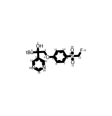 CC(C)(C)C(O)(COc1ccc(S(=O)(=O)CF)cc1)c1cncnc1